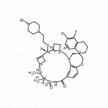 CC(C)N1CCN(CCO[C@H]2C3=C[C@@H](C3)[C@H](C)[C@@H](C)S(=O)(=O)NC(=O)c3ccc4c(c3)N(C[C@@H]3CC[C@H]32)C[C@@]2(CCCc3c2ccc(Cl)c3F)CO4)CC1